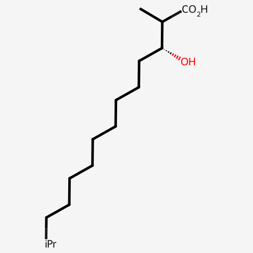 CC(C)CCCCCCCCC[C@@H](O)C(C)C(=O)O